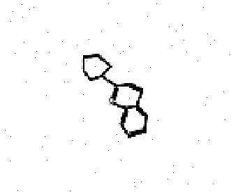 [c]1cc(C2CCCCC2)nc2ccccc12